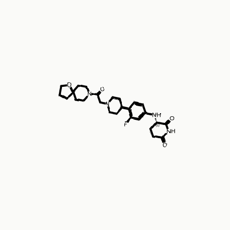 O=C1CC[C@H](Nc2ccc(C3CCN(CC(=O)N4CCC5(CCCO5)CC4)CC3)c(F)c2)C(=O)N1